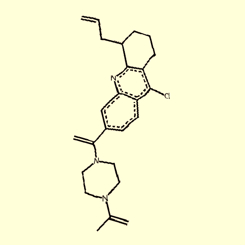 C=CCC1CCCc2c1nc1cc(C(=C)N3CCN(C(=C)C)CC3)ccc1c2Cl